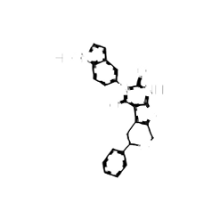 Cn1ccc2cc(-n3c(=O)[nH]c4sc5c(c4c3=O)CC(c3ccccc3)OC5)ccc21